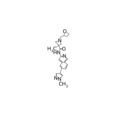 Cn1cc(-c2ccc3cnc(NC(=O)C4(C)CN(CC5CCO5)C4)cc3c2)cn1